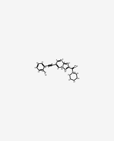 O=C(c1nc2ncc(C#Cc3ccccc3F)cn2n1)N1CCCCC1